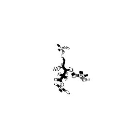 CC(C)(C)[Si](C)(C)OOC[C@@H](O)[C@@H](OO[Si](C)(C)C(C)(C)C)C(F)(F)C(=O)OS(C)(=O)=O